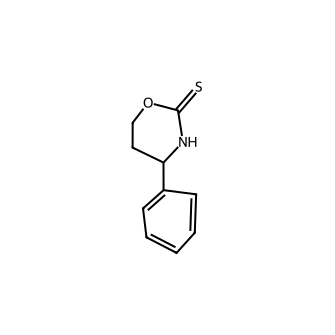 S=C1NC(c2ccccc2)CCO1